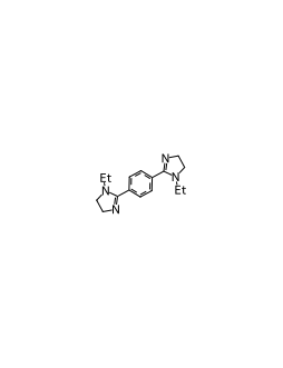 CCN1CCN=C1c1ccc(C2=NCCN2CC)cc1